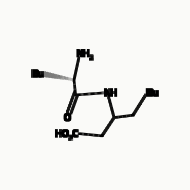 CCC(C)CC(CC(=O)O)NC(=O)[C@@H](N)C(C)CC